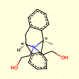 C[C@]12c3ccccc3C[C@H](c3ccccc31)[N+]2(CCO)CCO